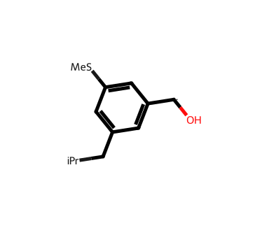 CSc1cc([CH]O)cc(CC(C)C)c1